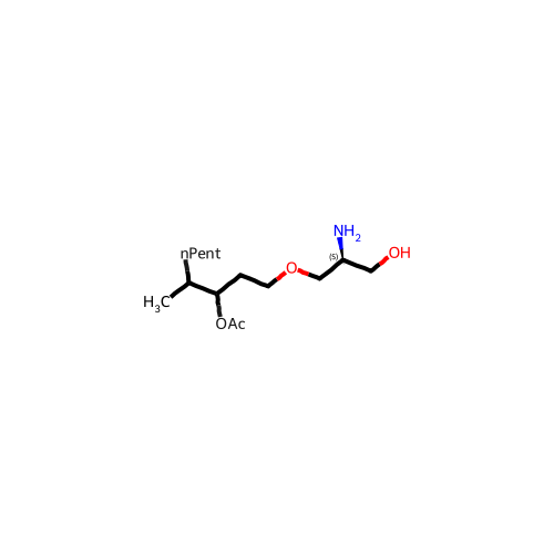 CCCCCC(C)C(CCOC[C@@H](N)CO)OC(C)=O